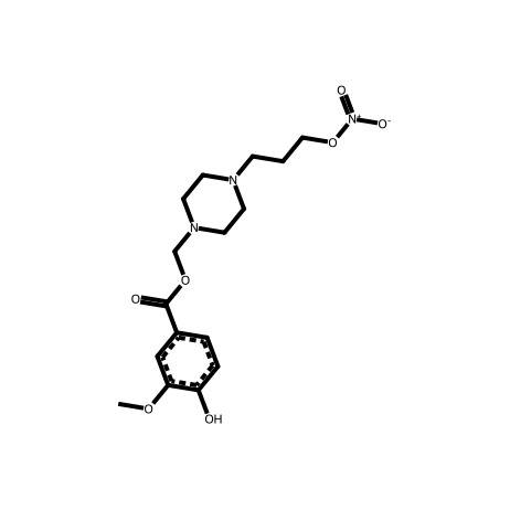 COc1cc(C(=O)OCN2CCN(CCCO[N+](=O)[O-])CC2)ccc1O